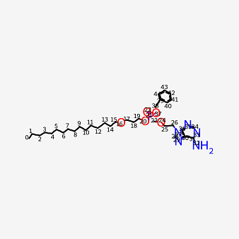 CCCCCCCCCCCCCCCCOCCCOP(=O)(COCCn1cnc2c(N)ncnc21)OCc1ccccc1